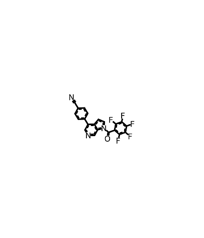 N#Cc1ccc(-c2cncc3c2ccn3C(=O)c2c(F)c(F)c(F)c(F)c2F)cc1